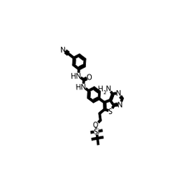 CC(C)(C)[Si](C)(C)OCCc1sc2ncnc(N)c2c1-c1ccc(NC(=O)Nc2cccc(C#N)c2)cc1